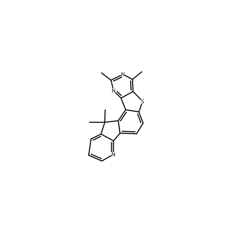 Cc1nc(C)c2sc3ccc4c(c3c2n1)C(C)(C)c1cccnc1-4